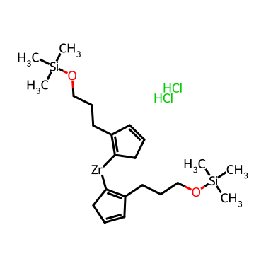 C[Si](C)(C)OCCCC1=[C]([Zr][C]2=C(CCCO[Si](C)(C)C)C=CC2)CC=C1.Cl.Cl